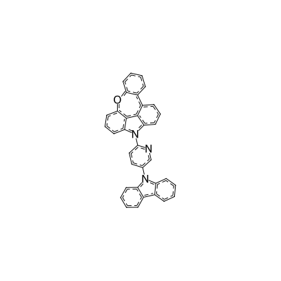 c1ccc2c(c1)oc1cccc3c1c1c2cccc1n3-c1ccc(-n2c3ccccc3c3ccccc32)cn1